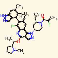 C=C(F)C(=O)N1CC[C@H](n2ncc3c(O[C@@H](C)[C@@H]4CCCN4C)nc4c(F)c(-c5c(C)c(C)cc6[nH]ncc56)c(C)cc4c32)C[C@H]1CC#N